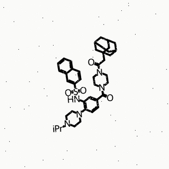 CC(C)N1CCN(c2ccc(C(=O)N3CCN(C(=O)CC45CC6CC(CC(C6)C4)C5)CC3)cc2NS(=O)(=O)c2ccc3ccccc3c2)CC1